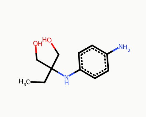 CCC(CO)(CO)Nc1ccc(N)cc1